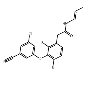 C/C=C/NC(=O)Cc1ccc(Br)c(Oc2cc(Cl)cc(C#N)c2)c1F